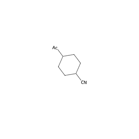 CC(=O)C1CCC(C#N)CC1